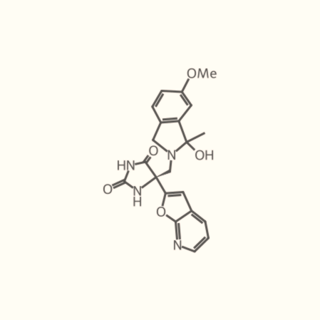 COc1ccc2c(c1)C(C)(O)N(C[C@@]1(c3cc4cccnc4o3)NC(=O)NC1=O)C2